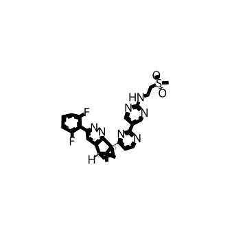 CC1(C)[C@H]2CC[C@]1(c1ccnc(-c3cnc(NCCS(C)(=O)=O)nc3)n1)c1nnc(-c3c(F)cccc3F)cc12